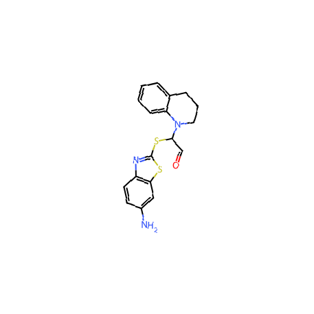 Nc1ccc2nc(SC(C=O)N3CCCc4ccccc43)sc2c1